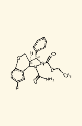 CCOC(=O)N1[C@H](c2ccccc2)[C@@H]2COc3ccc(F)cc3C2N1C(N)=O